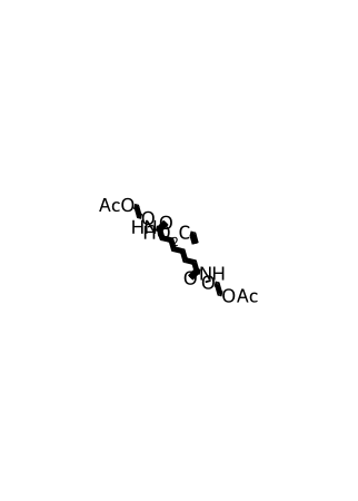 C=CC(=O)O.CC(=O)OCCONC(=O)CCCCCCC(=O)NOCCOC(C)=O